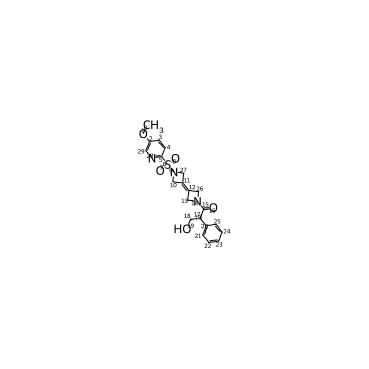 COc1ccc(S(=O)(=O)N2CC(=C3CN(C(=O)[C@H](CO)c4ccccc4)C3)C2)nc1